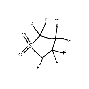 O=S1(=O)C(F)C(F)(F)C(F)(F)C1(F)F